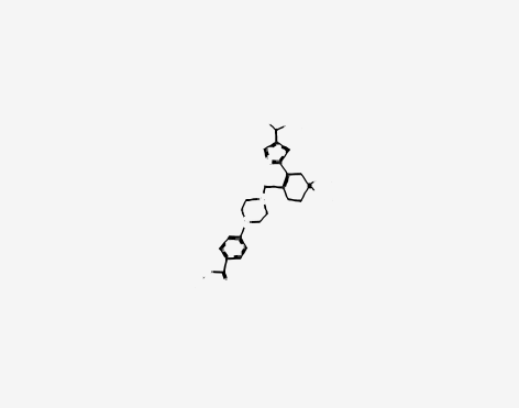 COC(=O)c1ccc(N2CCN(CC3=C(c4cc(C(C)C)cs4)CC(C)(C)CC3)CC2)cc1